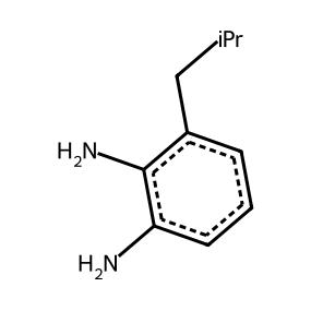 CC(C)Cc1cccc(N)c1N